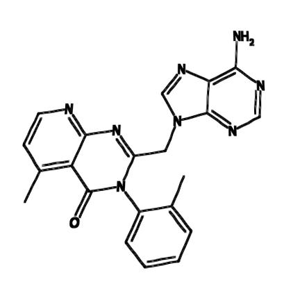 Cc1ccccc1-n1c(Cn2cnc3c(N)ncnc32)nc2nccc(C)c2c1=O